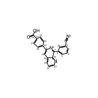 N#Cc1cccc(-c2nc(-c3ccc(C(=O)O)cc3)cc3cccnc23)c1